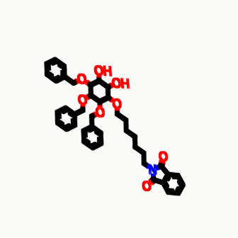 O=C1c2ccccc2C(=O)N1CCCCCCCOC1C(O)C(O)C(OCc2ccccc2)C(OCc2ccccc2)C1OCc1ccccc1